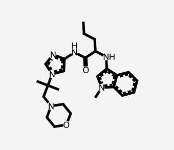 CCCC(Nc1cn(C)c2ccccc12)C(=O)Nc1cn(C(C)(C)CN2CCOCC2)cn1